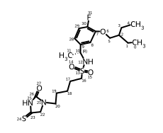 CCC(CC)COc1cc([C@@H](C)NS(=O)(=O)CCCCCN2CC(=S)NC2=O)ccc1F